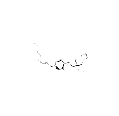 COc1cc(OCCC(C)CCCC(C)C)ccc1CCC(N)(CO)CC1CCC1